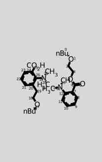 CCCCOCCOC(=O)c1ccccc1N(C)C.CCCCOCCc1cccc(C(=O)O)c1N(C)C